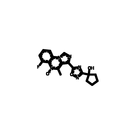 Cc1c2c(-c3nc(C4(O)CCCC4)no3)ncn2c2cccc(F)c2[n+]1[O-]